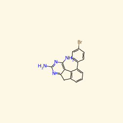 Nc1nc(N)c2c(n1)Cc1cccc(-c3ccc(Br)cc3)c1-2